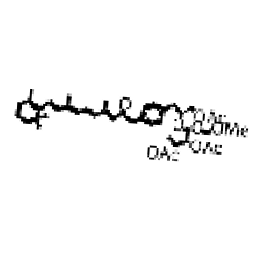 COCOC(O[C@H](COC(C)=O)Cc1ccc(CC(=O)/C=C(C)/C=C/C=C(C)/C=C/C2=C(C)CCCC2(C)C)cc1)[C@@H](OC(C)=O)C(C)OC(C)=O